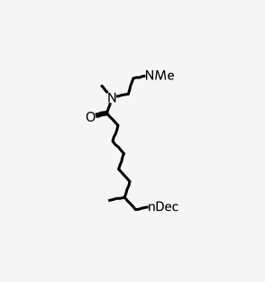 CCCCCCCCCCCC(C)CCCCCC(=O)N(C)CCNC